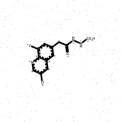 O=C(O)NNC(=O)Cc1cc(F)c2ncc(Cl)cc2c1